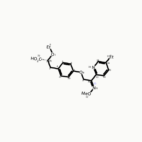 CCO[C@H](Cc1ccc(OC/C(=N\OC)c2ccc(CC)cn2)cc1)C(=O)O